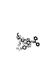 CCc1nnc([C@H]2O[C@@H](n3cnc4c(NCC(c5ccccc5)c5ccccc5)nc(NC5CCC(N)CC5)nc43)[C@H](O)[C@@H]2OC=O)o1